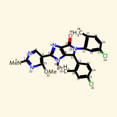 CNc1ncc(-c2nc3c(n2C(C)C)C(c2ccc(Cl)cc2C)N(c2cc(Cl)ccc2C)C3=O)c(OC)n1